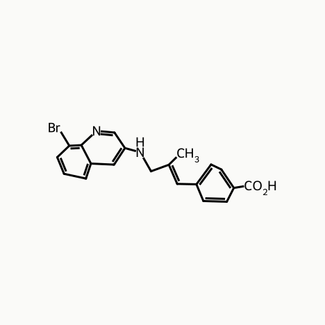 C/C(=C\c1ccc(C(=O)O)cc1)CNc1cnc2c(Br)cccc2c1